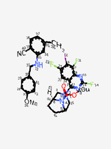 CC(C)(C)OC(=O)N1C2CC[C@H]1CN(c1nc(F)nc3c(F)c(I)c(F)cc13)C2.COc1ccc(CNc2cc(C)ccc2C#N)cc1